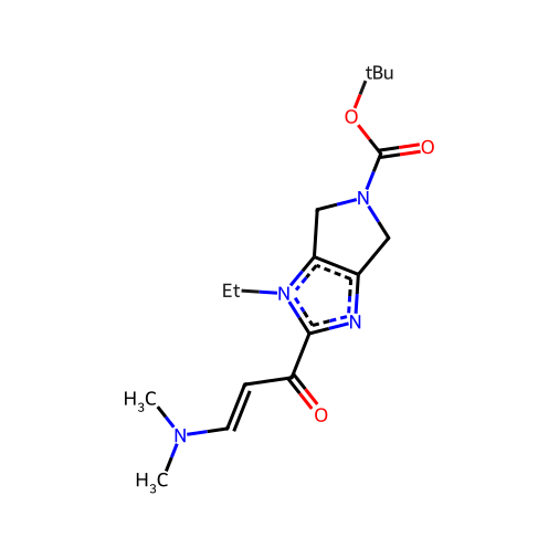 CCn1c(C(=O)C=CN(C)C)nc2c1CN(C(=O)OC(C)(C)C)C2